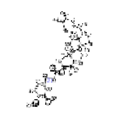 C=C(CCC(C)C1CCC2(C)C3CCC4C(C)(C)C(OC(=O)/C=C/c5ccc(OC)c(OC)c5)CCC45CC35CCC12C)C(C)C